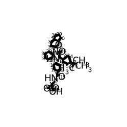 CC(C)(C)c1ccc(C(Nc2ccc(C(=O)NCCS(=O)(=O)O)cc2)C(=O)N(c2ccccc2)c2ccc3cccc-3o2)cc1